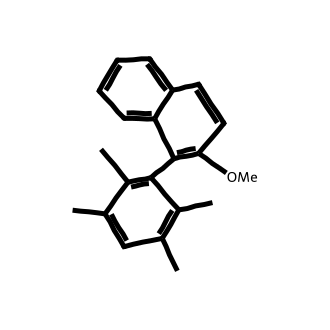 COc1ccc2ccccc2c1-c1c(C)c(C)cc(C)c1C